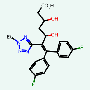 CCn1nnc(C(=C(c2ccc(F)cc2)c2ccc(F)cc2)C(O)CC(O)CC(=O)O)n1